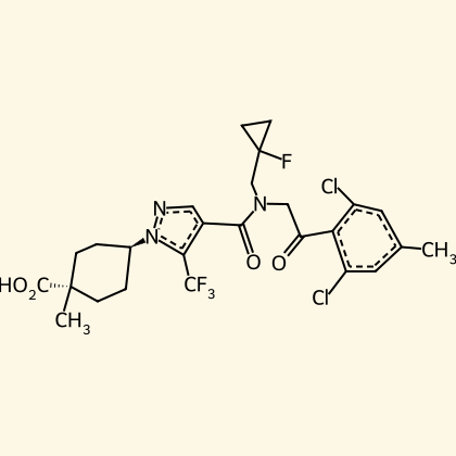 Cc1cc(Cl)c(C(=O)CN(CC2(F)CC2)C(=O)c2cnn([C@H]3CC[C@](C)(C(=O)O)CC3)c2C(F)(F)F)c(Cl)c1